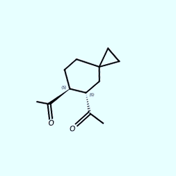 CC(=O)[C@H]1CCC2(CC2)C[C@@H]1C(C)=O